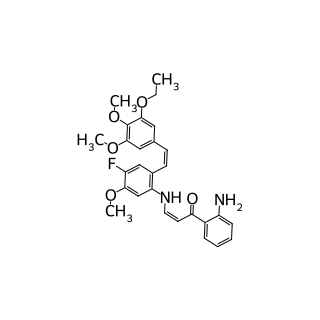 CCOc1cc(/C=C\c2cc(F)c(OC)cc2N/C=C\C(=O)c2ccccc2N)cc(OC)c1OC